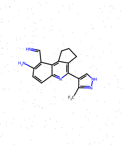 N=Cc1c(N)ccc2nc(-c3c[nH]nc3C(F)(F)F)c3c(c12)CCC3